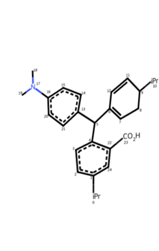 CC(C)c1ccc(C(C2=CCC(C(C)C)C=C2)c2ccc(N(C)C)cc2)c(C(=O)O)c1